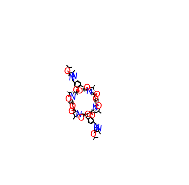 Cc1nn(Cc2ccc(C[C@H]3OC(=O)[C@H](CC(C)C)N(C)C(=O)[C@@H](C)OC(=O)[C@H](CC(C)C)N(C)C(=O)[C@@H](Cc4ccc(Cn5cc(OC(C)C)c(C)n5)cc4)OC(=O)[C@H](CC(C)C)N(C)C(=O)[C@@H](C)OC(=O)[C@H](CC(C)C)N(C)C3=O)cc2)cc1OC(C)C